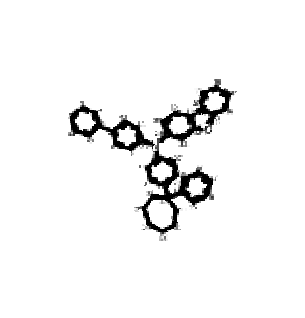 c1ccc(-c2ccc(N(c3ccc(C4(c5ccccc5)CCCCCC4)cc3)c3ccc4c(c3)oc3ccccc34)cc2)cc1